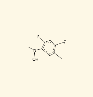 Cc1cc(N(C)O)c(F)cc1F